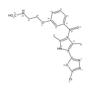 CCc1nnc(-c2[nH]c(C)c(C(=O)c3cccc(OCCNC(=O)O)c3)c2C)o1